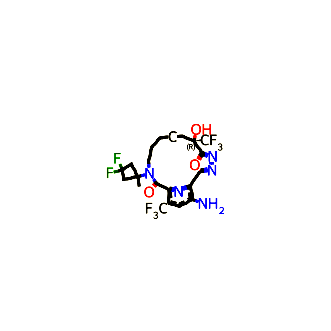 CC1(N2CCCCC[C@](O)(C(F)(F)F)c3nnc(o3)-c3nc(c(C(F)(F)F)cc3N)C2=O)CC(F)(F)C1